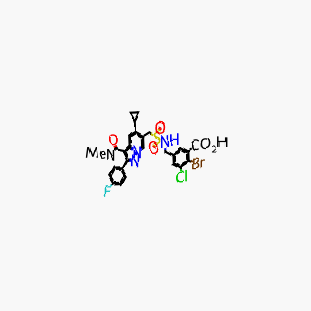 CNC(=O)c1c(-c2ccc(F)cc2)nn2cc(CS(=O)(=O)NCc3cc(Cl)c(Br)c(C(=O)O)c3)c(C3CC3)cc12